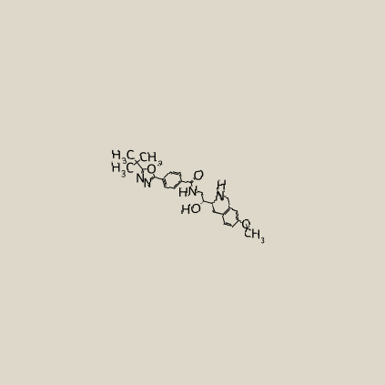 COc1ccc2c(c1)CN[C@H]([C@H](O)CNC(=O)c1ccc(-c3nnc(C(C)(C)C)o3)cc1)C2